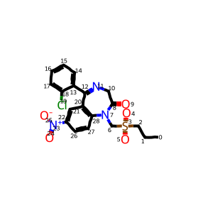 CCCS(=O)(=O)CN1C(=O)CN=C(c2ccccc2Cl)c2cc([N+](=O)[O-])ccc21